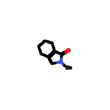 CC(C)(C)N1CC2=C(CCCC2)C1=O